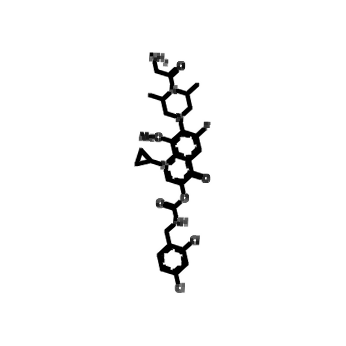 COc1c(N2CC(C)N(C(=O)CN)C(C)C2)c(F)cc2c(=O)c(OC(=O)NCc3ccc(Cl)cc3Cl)cn(C3CC3)c12